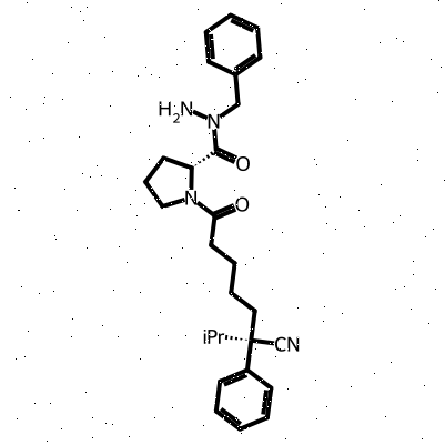 CC(C)[C@@](C#N)(CCCCC(=O)N1CCC[C@@H]1C(=O)N(N)Cc1ccccc1)c1ccccc1